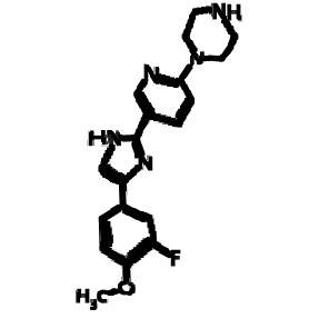 COc1ccc(-c2c[nH]c(-c3ccc(N4CCNCC4)nc3)n2)cc1F